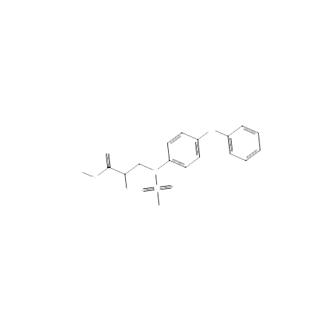 CS(=O)(=O)N(CC(O)C(=O)NO)c1ccc(Oc2ccccc2)cc1